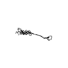 CC(C)CCC[C@@H](C)[C@H]1CCC2C3CC=C4CC(OC(=O)CCCCCCCCCCCCCCCCCCCCl)CC[C@]4(C)C3CC[C@@]21C